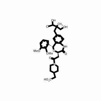 COc1cccc([C@H]2O[C@H](CC(=O)N3CCC(CC(=O)O)CC3)C(=O)Nc3ccc(CC(C)(CO)C(O)Cl)cc32)c1OC